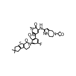 CC(=O)OCc1c(-c2cc(Nc3cc4n(n3)CCN(C3COC3)C4)c(=O)n(C)c2)cc(F)cc1N1CCc2c(sc3c2CC(C)(C)C3)C1=O